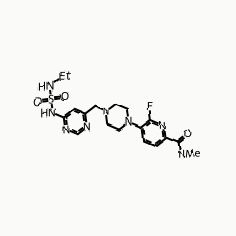 CCNS(=O)(=O)Nc1cc(CN2CCN(c3ccc(C(=O)NC)nc3F)CC2)ncn1